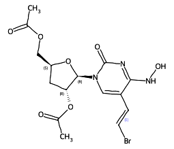 CC(=O)OC[C@@H]1C[C@@H](OC(C)=O)[C@H](n2cc(/C=C/Br)c(NO)nc2=O)O1